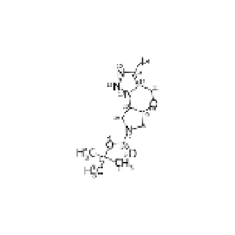 CC(C)(C)OC(=O)N1CC2OCc3c(I)nnn3C2C1